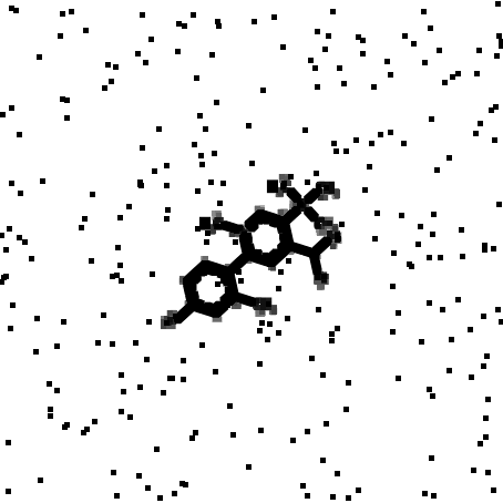 CCC(CC)c1cc(-c2ccc(C(C)C)cc2C)[n+](C)cc1[Si](C)(C)C